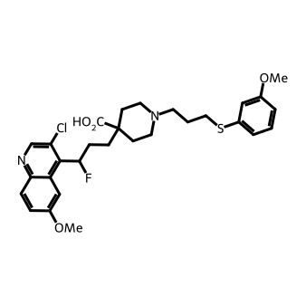 COc1cccc(SCCCN2CCC(CCC(F)c3c(Cl)cnc4ccc(OC)cc34)(C(=O)O)CC2)c1